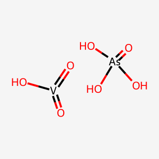 O=[As](O)(O)O.[O]=[V](=[O])[OH]